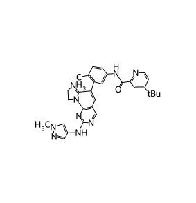 Cc1ccc(NC(=O)c2cc(C(C)(C)C)ccn2)cc1C1=Cc2cnc(Nc3cnn(C)c3)nc2N2CCN=C12